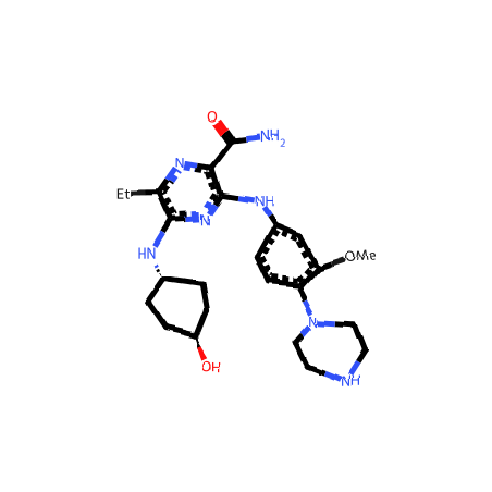 CCc1nc(C(N)=O)c(Nc2ccc(N3CCNCC3)c(OC)c2)nc1N[C@H]1CC[C@H](O)CC1